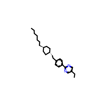 CCCCCCC[C@H]1CC[C@H](CCc2ccc(-c3ncc(CC)cn3)cc2)CC1